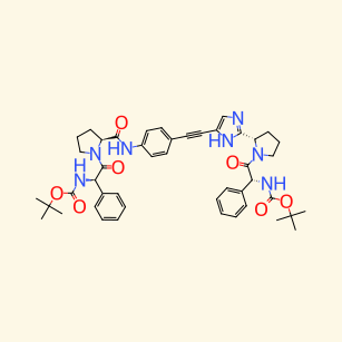 CC(C)(C)OC(=O)N[C@@H](C(=O)N1CCC[C@H]1C(=O)Nc1ccc(C#Cc2cnc([C@@H]3CCCN3C(=O)[C@H](NC(=O)OC(C)(C)C)c3ccccc3)[nH]2)cc1)c1ccccc1